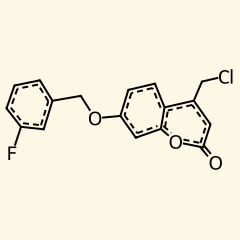 O=c1cc(CCl)c2ccc(OCc3cccc(F)c3)cc2o1